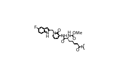 COC(=O)N[C@@H](CC/C=C/C(=O)N(C)C)C(=O)Nc1cccn(Cc2cc3cc(F)ccc3[nH]2)c1=O